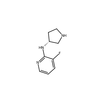 Fc1cccnc1N[C@@H]1CCNC1